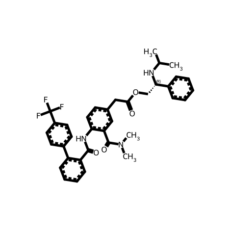 CC(C)N[C@@H](COC(=O)Cc1ccc(NC(=O)c2ccccc2-c2ccc(C(F)(F)F)cc2)c(C(=O)N(C)C)c1)c1ccccc1